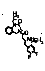 CCc1cc(F)c(F)cc1C[C@@H](N)CC(=O)N1CC(=O)N(CC)c2ccccc2C1